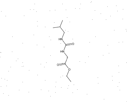 CCOC(=O)CNC(=O)NCC(C)C